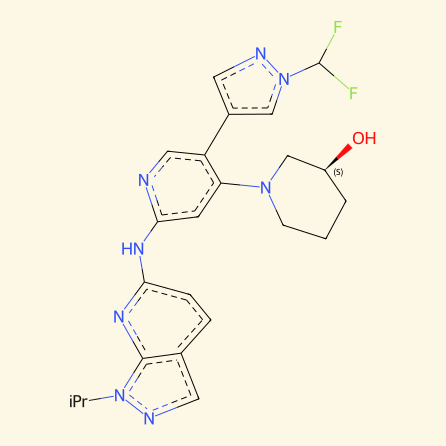 CC(C)n1ncc2ccc(Nc3cc(N4CCC[C@H](O)C4)c(-c4cnn(C(F)F)c4)cn3)nc21